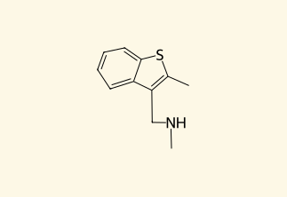 CNCc1c(C)sc2ccccc12